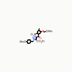 CCOC(=O)c1c(C(=O)c2cc(OCOC)c(C)cc2[N+](=O)[O-])nnn1Cc1ccc(OC)cc1